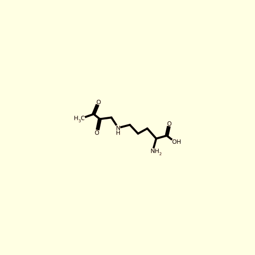 CC(=O)C(=O)CNCCCC(N)C(=O)O